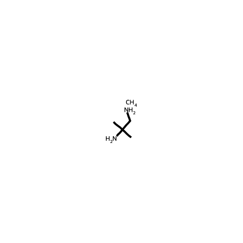 C.CC(C)(N)CN